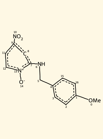 COc1ccc(CNc2cc([N+](=O)[O-])cc[n+]2[O-])cc1